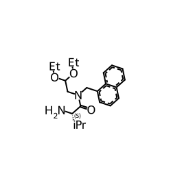 CCOC(CN(Cc1cccc2ccccc12)C(=O)[C@@H](N)C(C)C)OCC